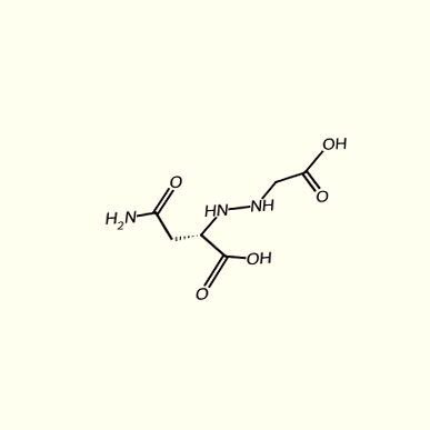 NC(=O)C[C@H](NNCC(=O)O)C(=O)O